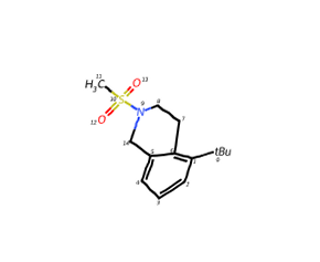 CC(C)(C)c1cccc2c1CCN(S(C)(=O)=O)C2